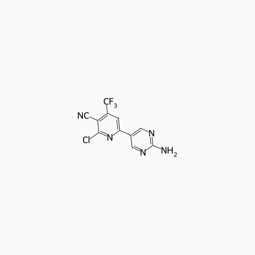 N#Cc1c(C(F)(F)F)cc(-c2cnc(N)nc2)nc1Cl